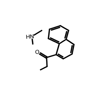 CCC(=O)c1cccc2ccccc12.CNC